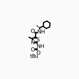 Cc1nc(NC(=O)OC(C)(C)C)sc1C(=O)N[C@@H](C)C1CCCCC1